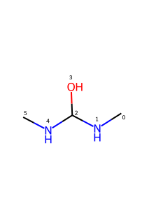 CNC(O)NC